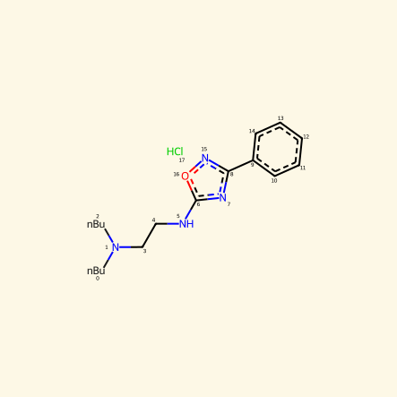 CCCCN(CCCC)CCNc1nc(-c2ccccc2)no1.Cl